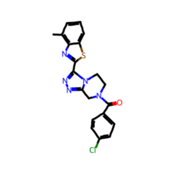 Cc1cccc2sc(-c3nnc4n3CCN(C(=O)c3ccc(Cl)cc3)C4)nc12